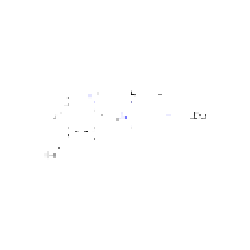 CC(C)(C)c1ccnc(N2CCN(C(C)(C)C)CC2)c1